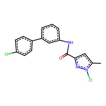 Cc1cc(C(=O)Nc2cccc(-c3ccc(Cl)cc3)c2)nn1Cl